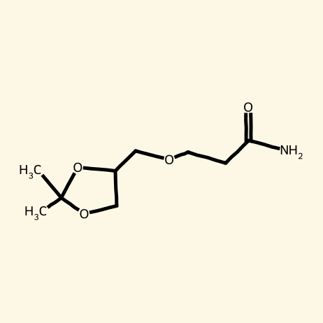 CC1(C)OCC(COCCC(N)=O)O1